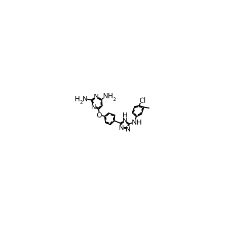 Cc1cc(Nc2nnc(-c3ccc(Oc4cc(N)nc(N)n4)cc3)[nH]2)ccc1Cl